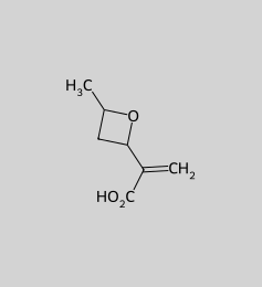 C=C(C(=O)O)C1CC(C)O1